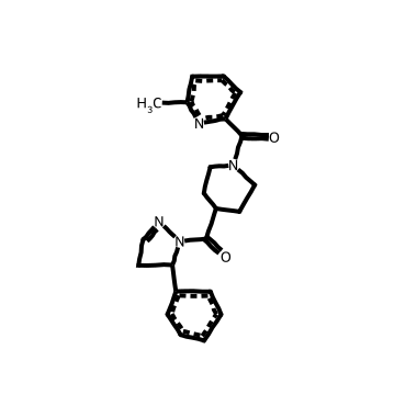 Cc1cccc(C(=O)N2CCC(C(=O)N3N=CCC3c3ccccc3)CC2)n1